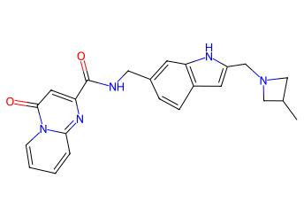 CC1CN(Cc2cc3ccc(CNC(=O)c4cc(=O)n5ccccc5n4)cc3[nH]2)C1